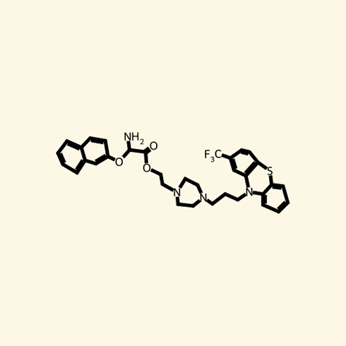 NC(Oc1ccc2ccccc2c1)C(=O)OCCN1CCN(CCCN2c3ccccc3Sc3ccc(C(F)(F)F)cc32)CC1